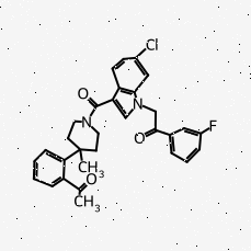 CC(=O)c1ccccc1C1(C)CCN(C(=O)c2cn(CC(=O)c3cccc(F)c3)c3cc(Cl)ccc23)CC1